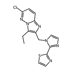 CCc1c(Cn2ccnc2-c2nccs2)nc2ccc(Cl)nn12